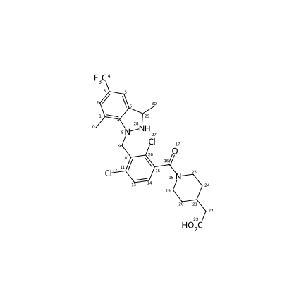 Cc1cc(C(F)(F)F)cc2c1N(Cc1c(Cl)ccc(C(=O)N3CCC(CC(=O)O)CC3)c1Cl)NC2C